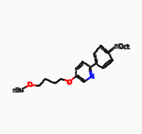 CCCCCCCCc1ccc(-c2ccc(OCCCCOCCCC)cn2)cc1